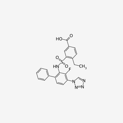 CCc1ccc(C(=O)O)cc1S(=O)(=O)Nc1c(-c2ccccc2)ccc(-n2cnnn2)c1F